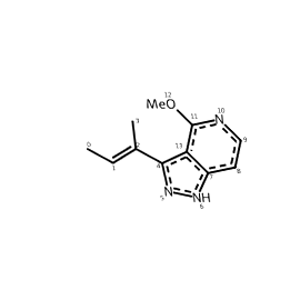 C/C=C(\C)c1n[nH]c2ccnc(OC)c12